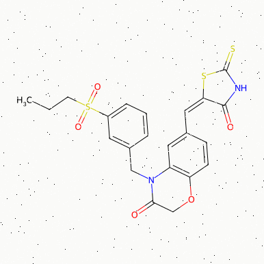 CCCS(=O)(=O)c1cccc(CN2C(=O)COc3ccc(C=C4SC(=S)NC4=O)cc32)c1